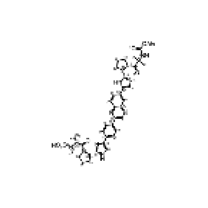 COC(=O)NC(C)(C)C(=O)N1CCC[C@H]1c1ncc(-c2ccc3nc(-c4ccc(-c5c[nH]c([C@@H]6CCCN6C(=O)[C@H](C(C)C)N(C)C(=O)O)n5)cc4)cnc3c2)[nH]1